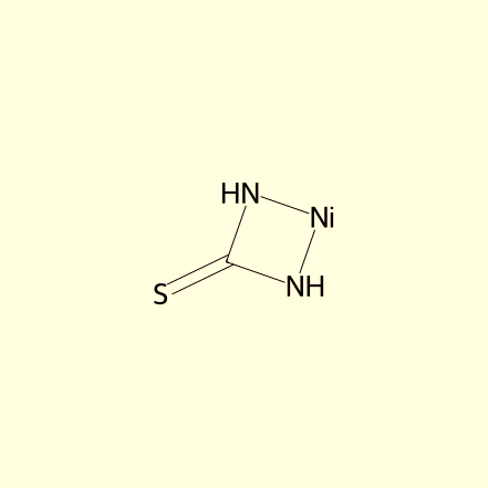 S=C1[NH][Ni][NH]1